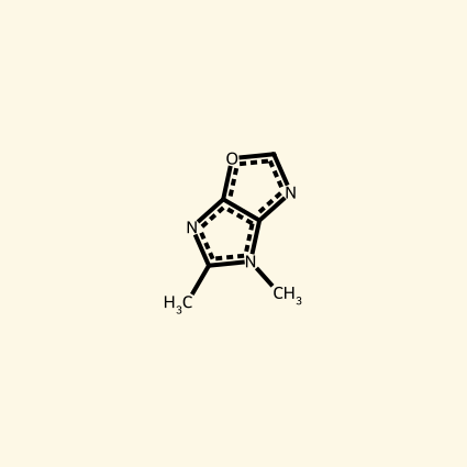 Cc1nc2ocnc2n1C